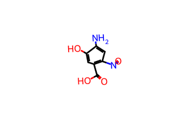 Nc1cc(N=O)c(C(=O)O)cc1O